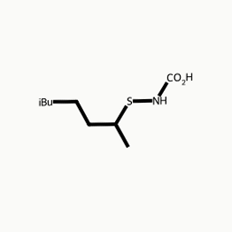 CCC(C)CCC(C)SNC(=O)O